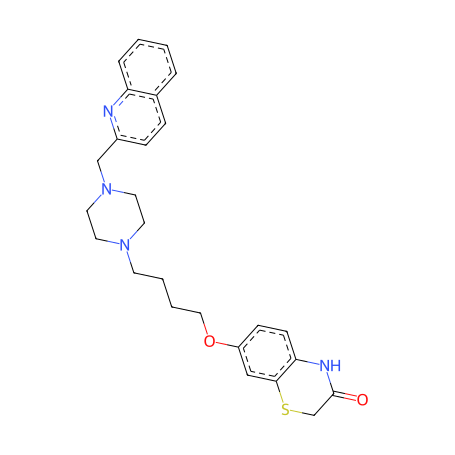 O=C1CSc2cc(OCCCCN3CCN(Cc4ccc5ccccc5n4)CC3)ccc2N1